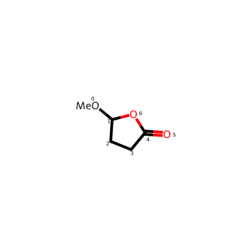 COC1CCC(=O)O1